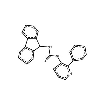 O=C(Nc1cccnc1-c1ccccc1)NC1c2ccccc2-c2ccccc21